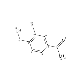 CC(=O)c1ccc(CO)c(F)c1